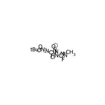 Cc1cn2cc(Nc3nn(C4CCCCO4)c4cc(N5CCN(C(=O)OC(C)(C)C)CC5)cc(Cl)c34)cc(F)c2n1